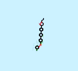 CCCC1CCC(c2ccc(-c3ccc(-c4cc(F)c(C(F)(F)Oc5cc(F)c(F)c(F)c5)c(F)c4)c(F)c3)cc2)=CO1